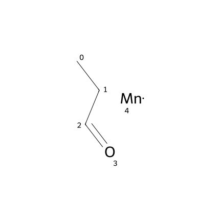 CCC=O.[Mn]